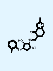 Cc1cc2c(s1)CCC(CN[C@@H]1CC[C@@H](Oc3ccccc3C)[C@H]1O)C2=O.Cl